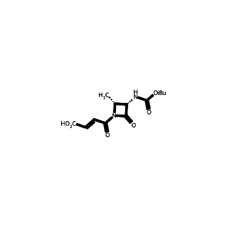 CC(C)COC(=O)N[C@@H]1C(=O)N(C(=O)/C=C/C(=O)O)[C@@H]1C